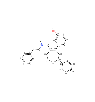 CN(CCc1ccccc1)CC1=C(c2cccc(O)c2)CC(c2ccccc2)CCC1